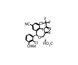 COc1cccc([C@@H]2O[C@@H](CC(=O)O)c3nnc(C(F)(F)Cl)n3-c3ccc(C#N)cc32)c1Cl